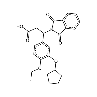 CCOc1ccc(C(CC(=O)O)N2C(=O)c3ccccc3C2=O)cc1OC1CCCC1